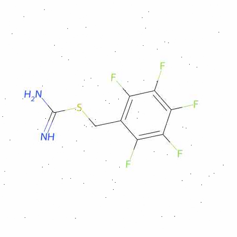 N=C(N)SCc1c(F)c(F)c(F)c(F)c1F